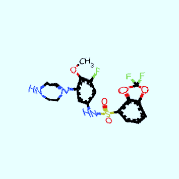 COc1c(F)cc(NS(=O)(=O)c2cccc3c2OC(F)(F)O3)cc1N1CCNCC1